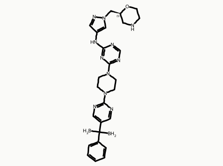 BC(B)(c1ccccc1)c1cnc(N2CCN(c3ncnc(Nc4cnn(C[C@@H]5CNCCO5)c4)n3)CC2)nc1